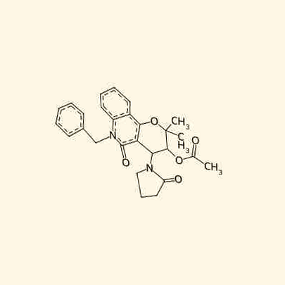 CC(=O)OC1C(N2CCCC2=O)c2c(c3ccccc3n(Cc3ccccc3)c2=O)OC1(C)C